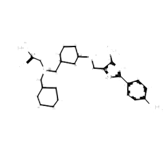 Cc1ccc(-c2nc(COC3CCCC(CN(CC(=O)O)CC4CCCCC4)C3)c(C)o2)cc1